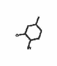 CC1CCC(C(C)C)C([O])C1